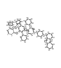 C1=CCC2Oc3c(-c4ccccc4C4=CC(c5ccc(-c6cccc7c6oc6ccccc67)cc5)=NC(c5ccccc5)N4)cccc3C3(C2=C1)c1ccccc1-c1ccccc13